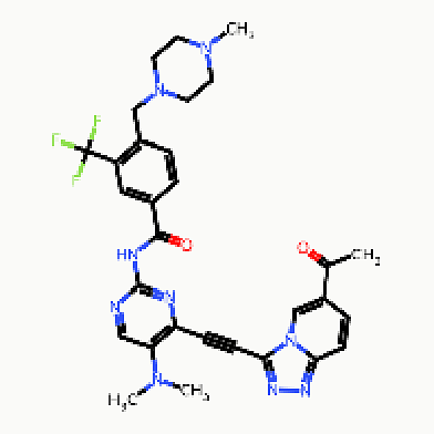 CC(=O)c1ccc2nnc(C#Cc3nc(NC(=O)c4ccc(CN5CCN(C)CC5)c(C(F)(F)F)c4)ncc3N(C)C)n2c1